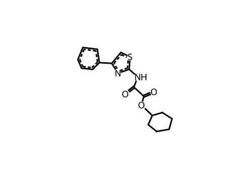 O=C(Nc1nc(-c2ccccc2)cs1)C(=O)OC1CCCCC1